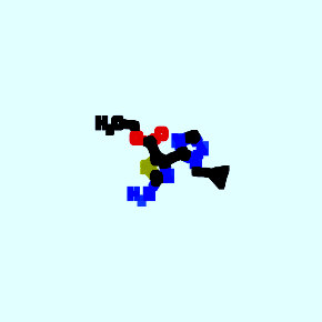 CCOC(=O)c1sc(N)nc1-c1ncnn1CC1CC1